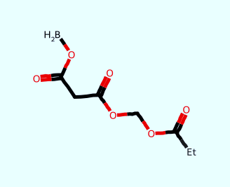 BOC(=O)CC(=O)OCOC(=O)CC